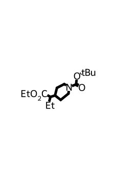 CCOC(=O)C(CC)C1CCN(C(=O)OC(C)(C)C)CC1